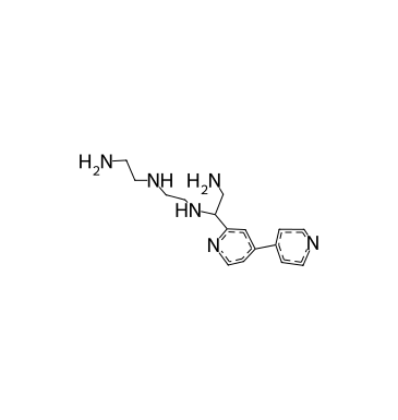 NCCNCCNC(CN)c1cc(-c2ccncc2)ccn1